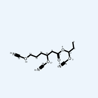 CCC(OC#N)OC(=O)CC(CCCOC#N)OC#N